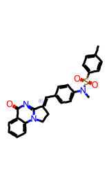 Cc1ccc(S(=O)(=O)N(C)c2ccc(/C=C3\CCn4c3nc(=O)c3ccccc34)cc2)cc1